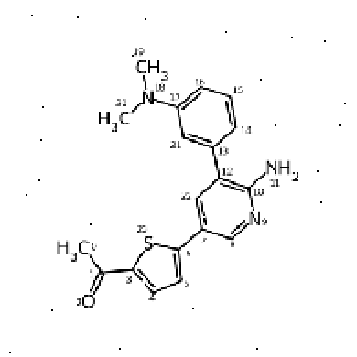 CC(=O)c1ccc(-c2cnc(N)c(-c3cccc(N(C)C)c3)c2)s1